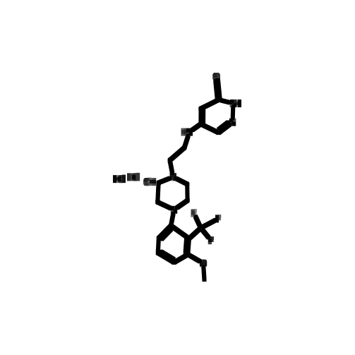 COc1cccc(N2CCN(CCNc3cn[nH]c(=O)c3)CC2)c1C(F)(F)F.Cl.Cl.Cl